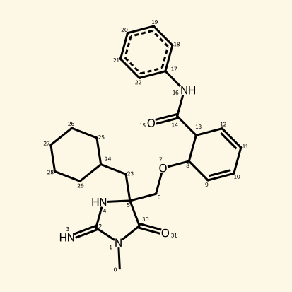 CN1C(=N)NC(COC2C=CC=CC2C(=O)Nc2ccccc2)(CC2CCCCC2)C1=O